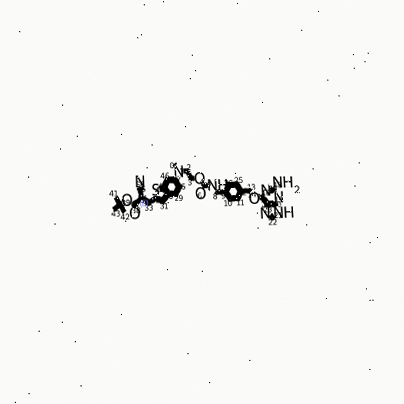 CN(CCOC(=O)NCc1ccc(COc2nc(N)nc3[nH]cnc23)cc1)c1ccc2cc(/C=C(\C#N)C(=O)OC(C)(C)C)sc2c1